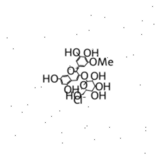 COc1cc(-c2[o+]c3cc(O)cc(O)c3cc2O[C@@H]2O[C@H](CO)[C@H](O)[C@H](O)[C@H]2O)cc(O)c1O.[Cl-]